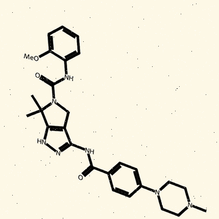 COc1ccccc1NC(=O)N1Cc2c(NC(=O)c3ccc(N4CCN(C)CC4)cc3)n[nH]c2C1(C)C